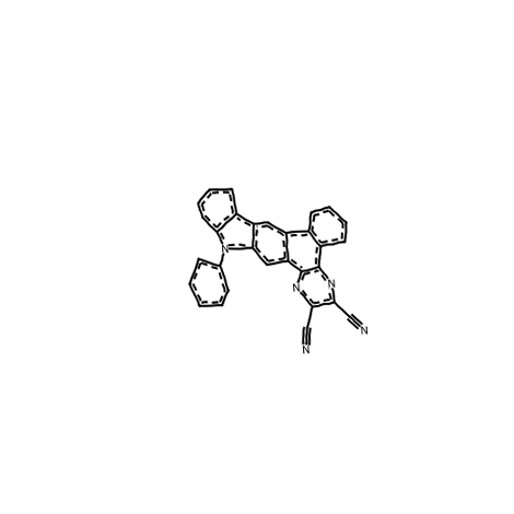 N#Cc1nc2c3ccccc3c3cc4c5ccccc5n(-c5ccccc5)c4cc3c2nc1C#N